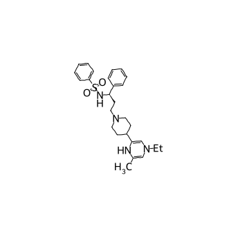 CCN1C=C(C)NC(C2CCN(CC[C@@H](NS(=O)(=O)c3ccccc3)c3ccccc3)CC2)=C1